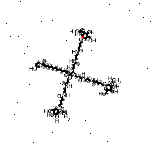 CC(=O)NC1C(OCCCCC(=O)NCCCNC(=O)CCOCC(COCCC(=O)NCCCNC(=O)CCCCOC2CC(CO)C(O)C(O)C2NC(C)=O)(COCCC(=O)NCCCNC(=O)CCCCOC2OC(CO)C(O)C(O)C2NC(C)=O)NC(=O)CCCCCCCCCCC(=O)N2CCC(O)C2)CC(CO)C(O)C1O